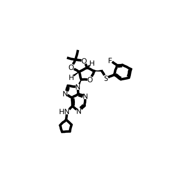 CC1(C)O[C@@H]2[C@H](O1)[C@@H](CSc1ccccc1F)O[C@H]2n1cnc2c(NC3CCCC3)ncnc21